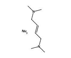 CN(C)C/C=C/CN(C)C.N